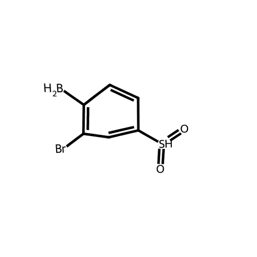 Bc1ccc([SH](=O)=O)cc1Br